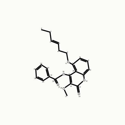 CCC=CCCOc1cccc2oc(=O)c(OC)c(OC(=O)c3ccccc3)c12